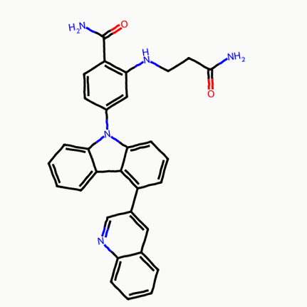 NC(=O)CCNc1cc(-n2c3ccccc3c3c(-c4cnc5ccccc5c4)cccc32)ccc1C(N)=O